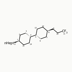 CCCCCCC[C@H]1CC[C@H]([C@H]2CC[C@H](CCC(F)(F)F)CC2)CC1